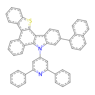 c1ccc(-c2cc(-n3c4cc(-c5cccc6ccccc56)ccc4c4c5sc6ccccc6c5c5ccccc5c43)cc(-c3ccccc3)n2)cc1